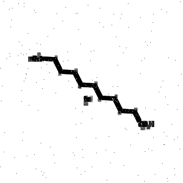 CCCCCCCCCCCCCCCCCC(=O)O.[Sn]